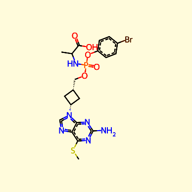 CSc1nc(N)nc2c1ncn2[C@H]1C[C@@H](COP(=O)(NC(C)C(=O)O)Oc2ccc(Br)cc2)C1